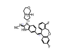 N#C/N=c1\[nH]c2cc(/C=C3/c4ccc(F)cc4OCc4c(F)cccc43)ccc2n1[C@H]1C[C@H]2COCCN2C1